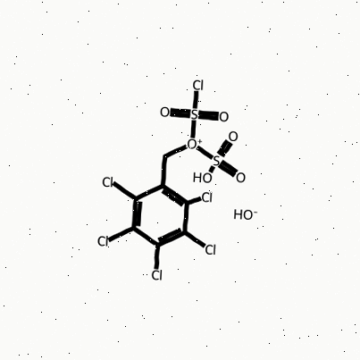 O=S(=O)(O)[O+](Cc1c(Cl)c(Cl)c(Cl)c(Cl)c1Cl)S(=O)(=O)Cl.[OH-]